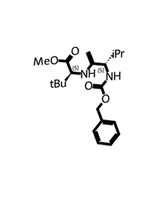 C=C(N[C@H](C(=O)OC)C(C)(C)C)[C@@H](NC(=O)OCc1ccccc1)C(C)C